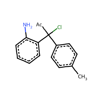 CC(=O)C(Cl)(c1ccc(C)cc1)c1ccccc1N